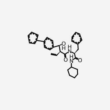 C=C[C@H](C(=O)N[C@@H](Cc1ccccc1)C(=O)NC1CCCCC1)[C@H](O)c1ccc(-c2ccccc2)cc1